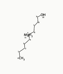 CCCCCCCCCCO.[MgH2]